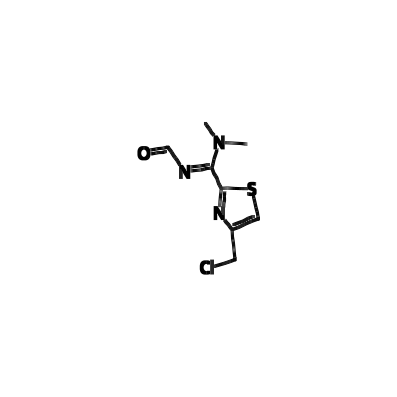 CN(C)C(=NC=O)c1nc(CCl)cs1